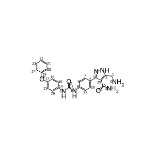 NCc1[nH]nc(-c2ccc(NC(=O)Nc3ccc(Oc4ccccc4)cc3)cc2)c1C(N)=O